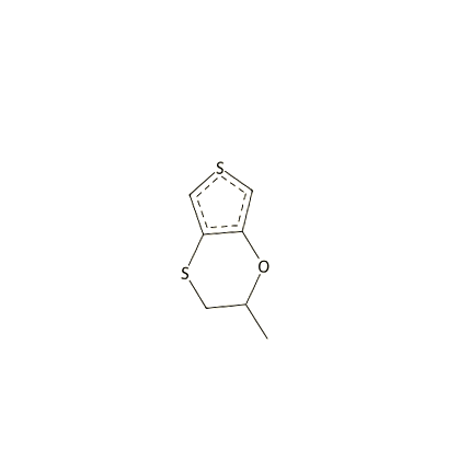 CC1CSc2cscc2O1